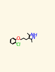 Cc1n[nH]c(C)c1CCCOc1ccccc1Cl